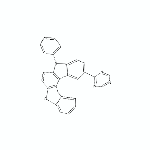 c1ccc(-n2c3ccc(-c4ncncn4)cc3c3c4c(ccc32)oc2ccccc24)cc1